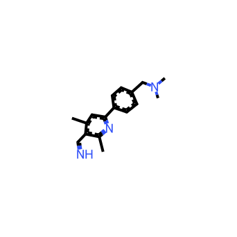 Cc1cc(-c2ccc(CN(C)C)cc2)nc(C)c1C=N